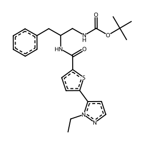 CCn1nccc1-c1ccc(C(=O)NC(CNC(=O)OC(C)(C)C)Cc2ccccc2)s1